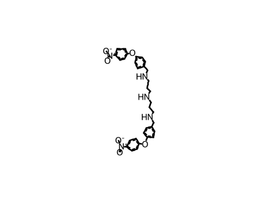 O=[N+]([O-])c1ccc(Oc2ccc(CNCCCNCCCNCc3ccc(Oc4ccc([N+](=O)[O-])cc4)cc3)cc2)cc1